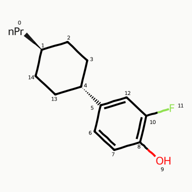 CCC[C@H]1CC[C@H](c2ccc(O)c(F)c2)CC1